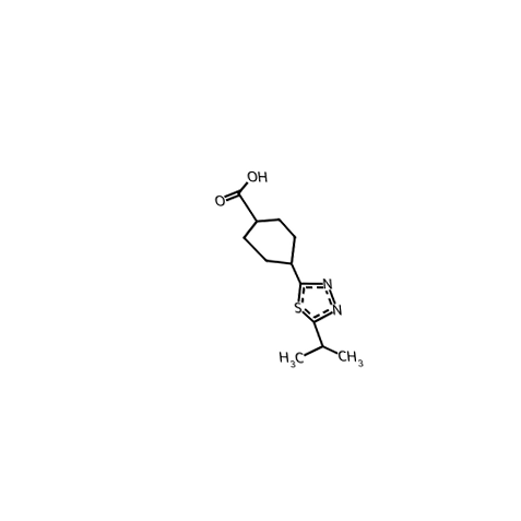 CC(C)c1nnc(C2CCC(C(=O)O)CC2)s1